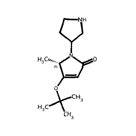 C[C@H]1C(OC(C)(C)C)=CC(=O)N1C1CCNC1